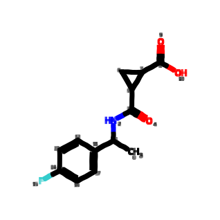 CC(NC(=O)C1CC1C(=O)O)c1ccc(F)cc1